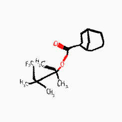 CC(C)(OC(=O)C1CC2CCC1C2)C(C)(C)C(F)(F)F